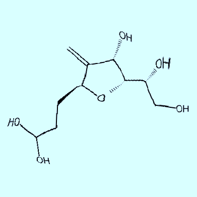 C=C1[C@H](CCC(O)O)O[C@@H]([C@H](O)CO)[C@H]1O